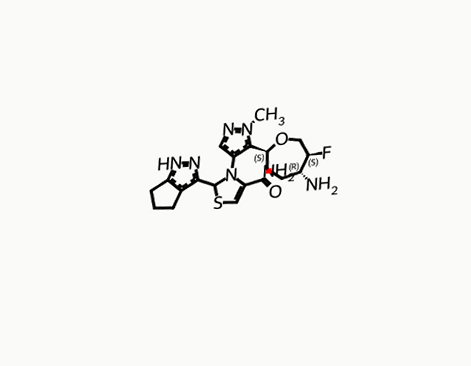 Cn1ncc(N2C(C(N)=O)=CSC2c2n[nH]c3c2CCC3)c1[C@@H]1CC[C@@H](N)[C@H](F)CO1